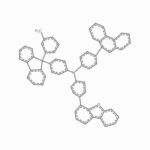 Cc1cccc(C2(c3ccc(N(c4ccc(-c5cc6ccccc6c6ccccc56)cc4)c4ccc(-c5cccc6c5oc5ccccc56)cc4)cc3)c3ccccc3-c3ccccc32)c1